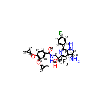 C[C@@]1(N)CNc2c1cc(C(O)(CNC(=O)c1ccc(OC3CC3)c(OC3CC3)c1)C(F)(F)F)nc2-c1ccc(F)cc1